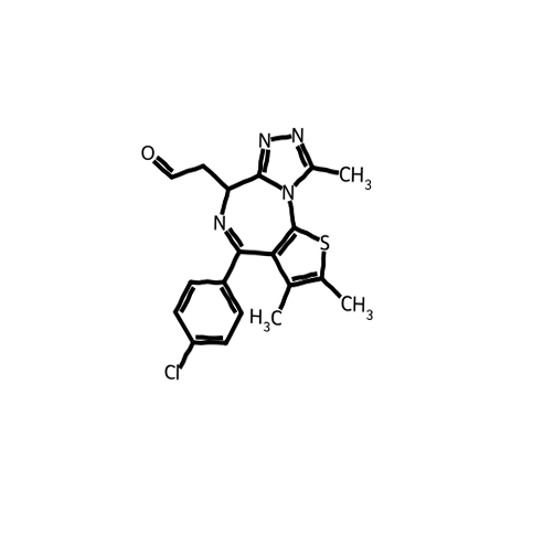 Cc1sc2c(c1C)C(c1ccc(Cl)cc1)=NC(CC=O)c1nnc(C)n1-2